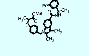 COC(=O)C(C)Oc1ccc(Cn2c(C)c(C)c3cc(C(=O)N[C@@H](C)c4cccc(C(C)C)c4)ccc32)cc1